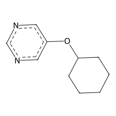 c1ncc(OC2CCCCC2)cn1